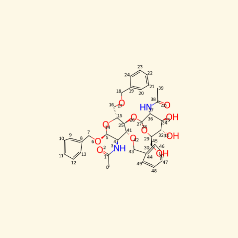 CC(=O)N[C@H]1[C@@H](OCc2ccccc2)O[C@H](COCc2ccccc2)[C@@H](OC2O[C@H](CO)[C@@H](O)[C@H](O)[C@H]2NC(C)=O)[C@@H]1OCc1ccccc1